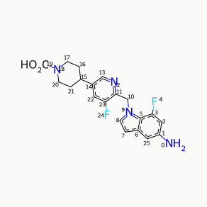 Nc1cc(F)c2c(ccn2Cc2ncc(C3CCN(C(=O)O)CC3)cc2F)c1